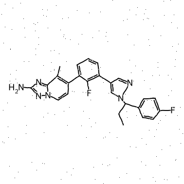 CCC(c1ccc(F)cc1)n1cc(-c2cccc(-c3ccn4nc(N)nc4c3C)c2F)cn1